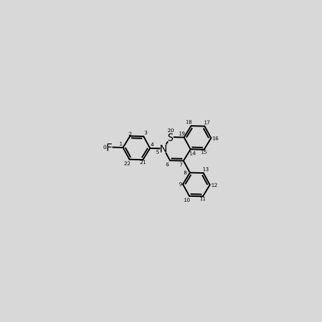 Fc1ccc(N2C=C(c3ccccc3)c3ccccc3S2)cc1